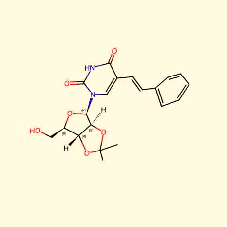 CC1(C)O[C@H]2[C@H](O1)[C@@H](CO)O[C@H]2n1cc(C=Cc2ccccc2)c(=O)[nH]c1=O